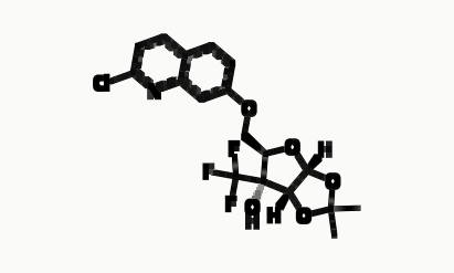 CC1(C)O[C@H]2O[C@H](COc3ccc4ccc(Cl)nc4c3)[C@](O)(C(F)(F)F)[C@H]2O1